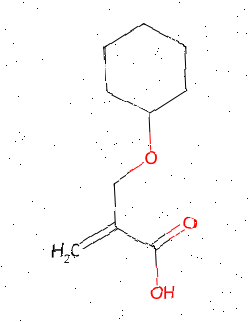 C=C(COC1CCCCC1)C(=O)O